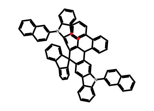 c1ccc(-c2ccccc2C2c3cc4c(cc3C3(c5ccccc5-c5ccccc53)c3cc5c(cc32)c2ccccc2n5-c2ccc3ccccc3c2)c2ccccc2n4-c2ccc3ccccc3c2)cc1